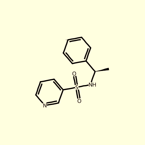 C[C@@H](NS(=O)(=O)c1cccnc1)c1cc[c]cc1